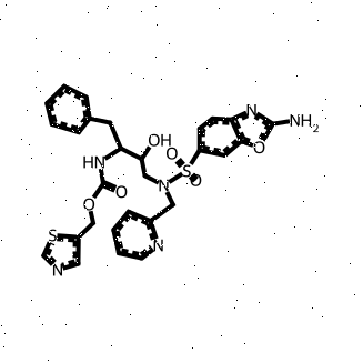 Nc1nc2ccc(S(=O)(=O)N(Cc3ccccn3)CC(O)C(Cc3ccccc3)NC(=O)OCc3cncs3)cc2o1